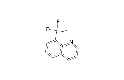 FC(F)(F)c1cccc2cccnc12